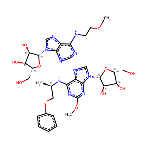 COCCNc1ncnc2c1ncn2[C@@H]1O[C@H](CO)[C@@H](O)[C@H]1O.COc1nc(N[C@H](C)COc2ccccc2)c2ncn([C@@H]3O[C@H](CO)[C@@H](O)[C@H]3O)c2n1